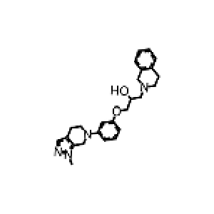 Cn1ncc2c1CN(c1cccc(OCC(O)CN3CCc4ccccc4C3)c1)CC2